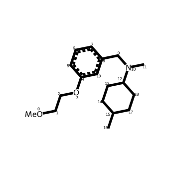 COCCOc1cccc(CN(C)C2CCC(C)CC2)c1